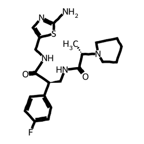 C[C@@H](C(=O)NC[C@H](C(=O)NCc1cnc(N)s1)c1ccc(F)cc1)N1CCCCC1